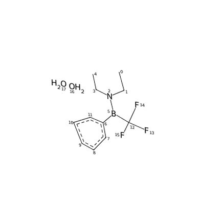 CCN(CC)B(c1ccccc1)C(F)(F)F.O.O